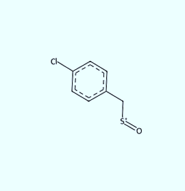 O=[S+]Cc1ccc(Cl)cc1